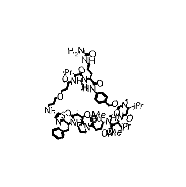 CC[C@H](C)[C@@H]([C@@H](CC(=O)N1CCC[C@H]1[C@H](OC)[C@@H](C)C(=O)N[C@@H](Cc1ccccc1)c1nccs1)OC)N(C)C(=O)[C@@H](NC(=O)[C@H](C(C)C)N(C)C(=O)OCc1ccc(NC(=O)[C@H](CCCNC(N)=O)NC(=O)[C@@H](NC(=O)CCOCCCN)C(C)C)cc1)C(C)C